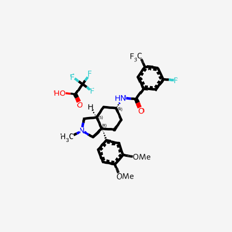 COc1ccc([C@@]23CC[C@@H](NC(=O)c4cc(F)cc(C(F)(F)F)c4)C[C@@H]2CN(C)C3)cc1OC.O=C(O)C(F)(F)F